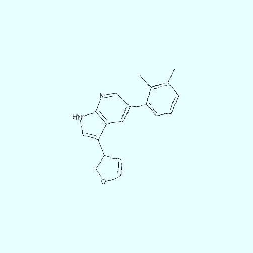 Cc1cccc(-c2cnc3[nH]cc(C4C=COC4)c3c2)c1C